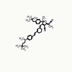 C/C(C#N)=C1/OC(C)(c2ccc(CC(C)(C)C)cc2)C(/C=C2C=C(/C=C/c3ccc(N(C)CCC(C)(C)C)cc3)CCC/2)=C1C#N